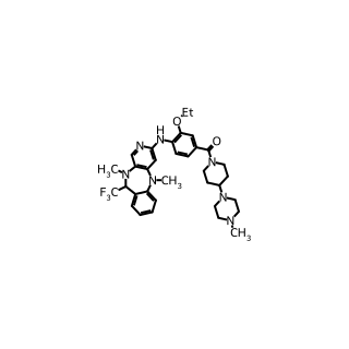 CCOc1cc(C(=O)N2CCC(N3CCN(C)CC3)CC2)ccc1Nc1cc2c(cn1)N(C)C(C(F)(F)F)c1ccccc1N2C